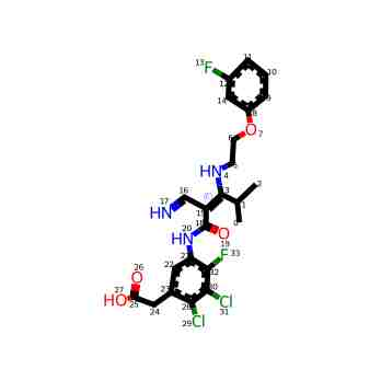 CC(C)/C(NCCOc1cccc(F)c1)=C(/C=N)C(=O)Nc1cc(CC(=O)O)c(Cl)c(Cl)c1F